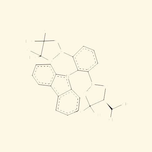 CC(C)[C@@H]1OB(c2cccc(B3OC(C)(C)C(C)(C)O3)c2-n2c3ccccc3c3ccccc32)OC1(C)C